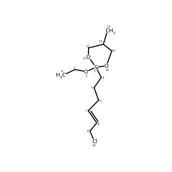 CCO[Si]1(CCCC=CCCl)OCC(C)CO1